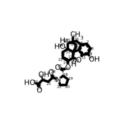 CC1CCC23c4c5ccc(O)c4O[C@H]2C(OC(=O)[C@@H]2CCCN2C(=O)C[C@H](O)C(=O)O)=CC[C@@]3(O)[C@H]1C5